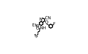 CCOc1cc2ncc(C#N)c(OCc3cccc(F)c3)c2cc1NC(=O)/C=C/CN(C)C